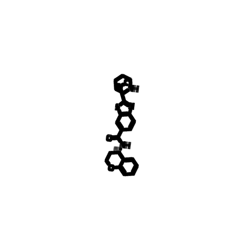 O=C(N[C@H]1CCOc2ccccc21)c1ccc2nc(N3CC4CCC3CN4)sc2c1